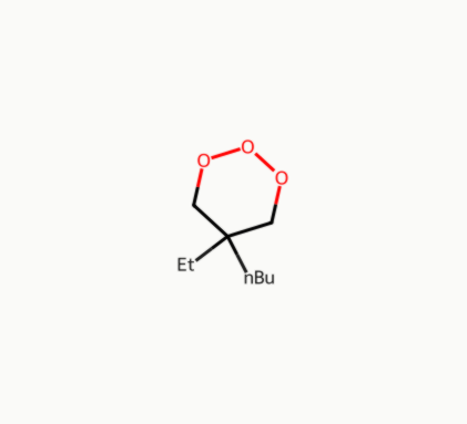 CCCCC1(CC)COOOC1